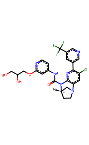 O=C(Nc1ccnc(OCC(O)CO)c1)N1c2nc(-c3cncc(C(F)(F)F)c3)c(Cl)cc2N2CC[C@H]1C2